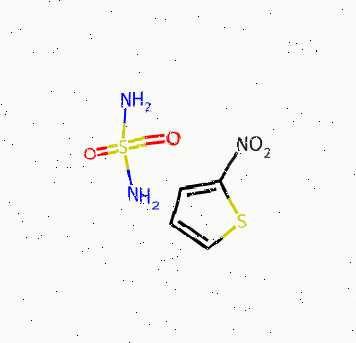 NS(N)(=O)=O.O=[N+]([O-])c1cccs1